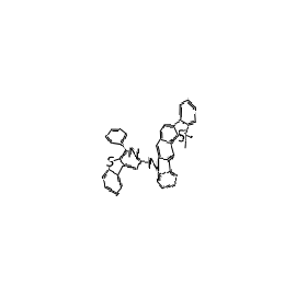 C[Si]1(C)c2ccccc2-c2ccc3cc4c(cc3c21)c1ccccc1n4-c1cc2c(sc3ccccc32)c(-c2ccccc2)n1